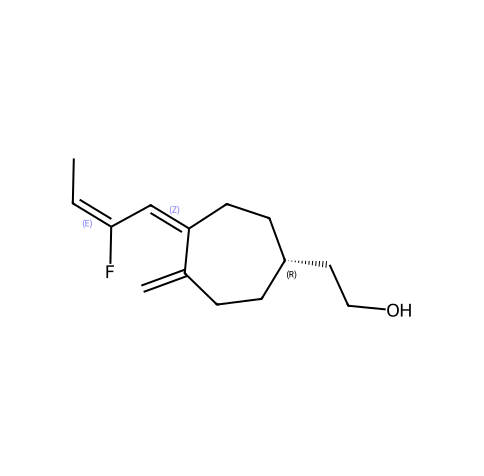 C=C1CC[C@@H](CCO)CC/C1=C/C(F)=C\C